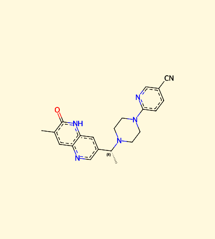 Cc1cc2ncc([C@@H](C)N3CCN(c4ccc(C#N)cn4)CC3)cc2[nH]c1=O